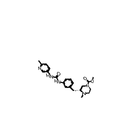 COC(=O)N1CCN(C)[C@H](Cc2cccc(NC(=O)Nc3ccc(C)nc3)c2)C1